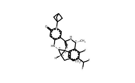 C[C@@H](NC(=O)c1cn(C23CC(C2)C3)c(=O)cc1N[C@@H]1[C@@H]2CN(C(=O)O)C[C@@H]21)c1cccc(C(F)F)c1F